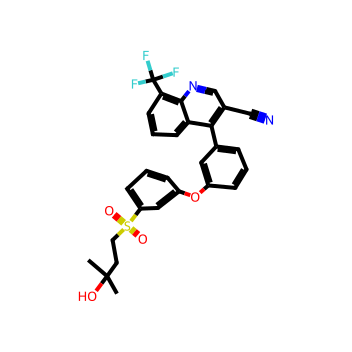 CC(C)(O)CCS(=O)(=O)c1cccc(Oc2cccc(-c3c(C#N)cnc4c(C(F)(F)F)cccc34)c2)c1